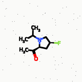 CC(=O)[C@@H]1C[C@H](F)CN1C(C)C